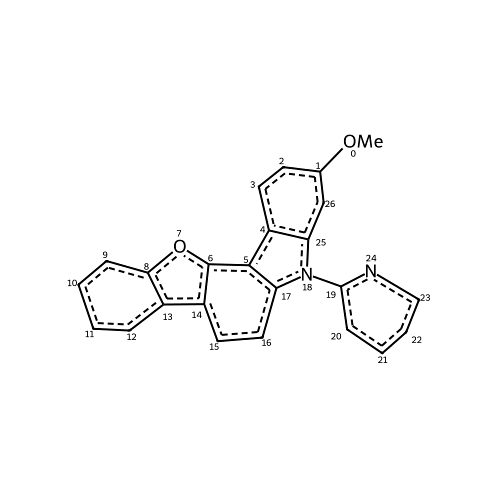 COc1ccc2c3c4oc5ccccc5c4ccc3n(-c3ccccn3)c2c1